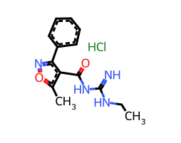 CCNC(=N)NC(=O)c1c(-c2ccccc2)noc1C.Cl